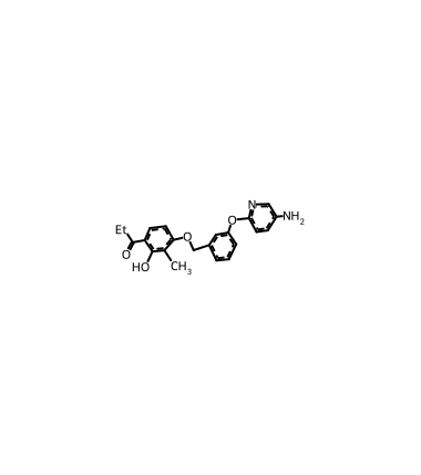 CCC(=O)c1ccc(OCc2cccc(Oc3ccc(N)cn3)c2)c(C)c1O